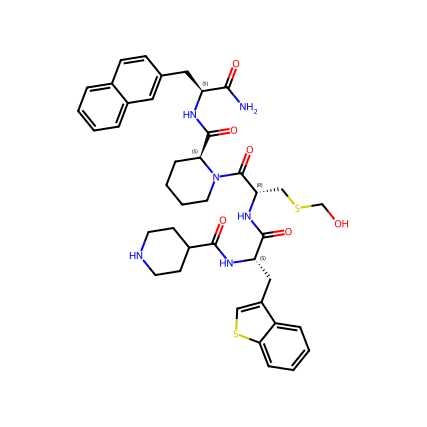 NC(=O)[C@H](Cc1ccc2ccccc2c1)NC(=O)[C@@H]1CCCCN1C(=O)[C@H](CSCO)NC(=O)[C@H](Cc1csc2ccccc12)NC(=O)C1CCNCC1